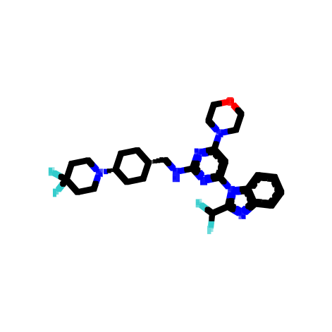 FC(F)c1nc2ccccc2n1-c1cc(N2CCOCC2)nc(NC[C@H]2CC[C@@H](N3CCC(F)(F)CC3)CC2)n1